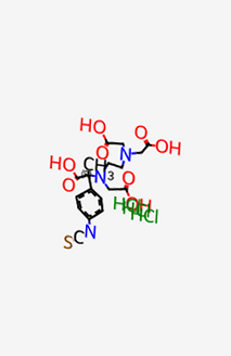 C[C@](C(=O)O)(c1ccc(N=C=S)cc1)N(CCN(CC(=O)O)CC(=O)O)CC(=O)O.Cl.Cl.Cl